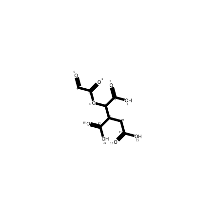 O=CC(=O)OC(C(=O)O)C(CC(=O)O)C(=O)O